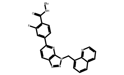 CC(C)(C)NC(=O)c1ccc(-c2ccc3nnn(Cc4cccc5cccnc45)c3n2)cc1F